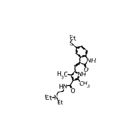 CCSc1ccc2c(c1)/C(=C/c1[nH]c(C)c(C(=O)NCCN(CC)CC)c1C)C(=O)N2